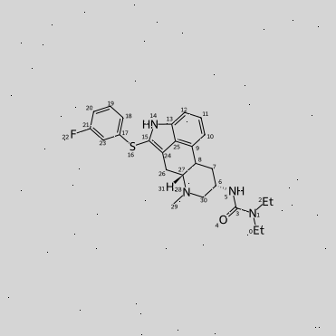 CCN(CC)C(=O)N[C@H]1CC2c3cccc4[nH]c(Sc5cccc(F)c5)c(c34)C[C@H]2N(C)C1